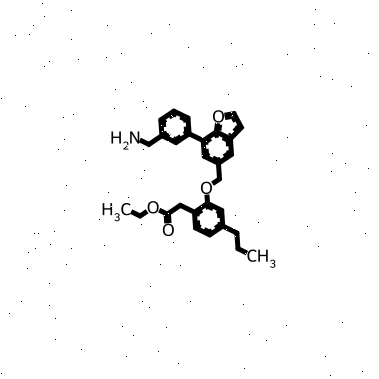 CCCc1ccc(CC(=O)OCC)c(OCc2cc(-c3cccc(CN)c3)c3occc3c2)c1